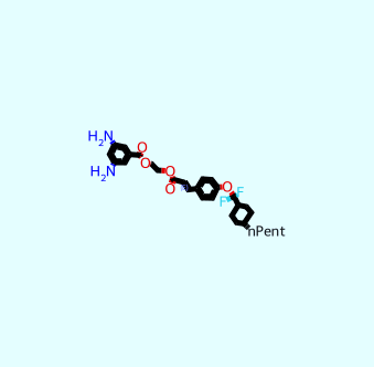 CCCCCC1CCC(C(F)(F)Oc2ccc(/C=C/C(=O)OCCOC(=O)c3cc(N)cc(N)c3)cc2)CC1